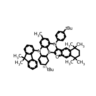 Cc1cc2c3c(c1)N(c1ccc(C(C)(C)C)cc1)c1c(oc4cc5c(cc14)C(C)(C)CCC5(C)C)B3C1=C(C=C[C@@H](C(C)(C)C)C1)N2c1cccc2c1-c1ccccc1C2(C)C